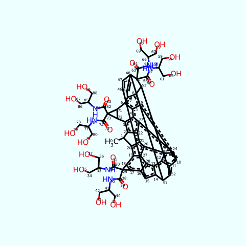 CC1c2c3c4c5c(c6c7c5c5c8c9c%10c%11c(c%12c%13c(c%14c1c1c2c4c5c9c1c%14c%12%10)C%13(C(=O)NC(CO)CO)C(=O)NC(CO)CO)C=CC1(C=C6)C%11C=8C7C1(C(=O)NC(CO)CO)C(=O)NC(CO)CO)C1C3C1(C(=O)NC(CO)CO)C(=O)NC(CO)CO